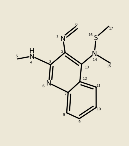 C=Nc1c(NC)nc2ccccc2c1N(C)SC